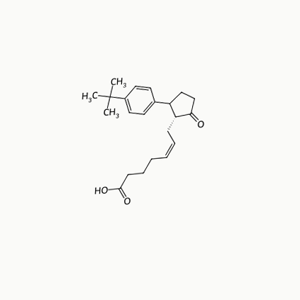 CC(C)(C)c1ccc(C2CCC(=O)[C@@H]2C/C=C\CCCC(=O)O)cc1